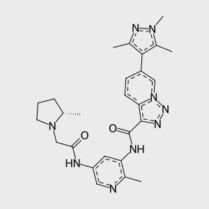 Cc1ncc(NC(=O)CN2CCC[C@@H]2C)cc1NC(=O)c1nnn2cc(-c3c(C)nn(C)c3C)ccc12